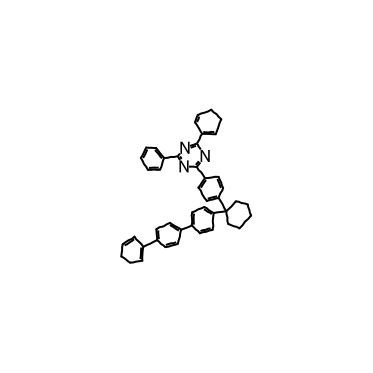 C1=CC(c2ccc(-c3ccc(C4(c5ccc(-c6nc(C7=CCCC=C7)nc(-c7ccccc7)n6)cc5)CCCCC4)cc3)cc2)=CCC1